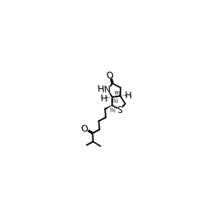 CC(C)C(=O)CCCC[C@@H]1SC[C@@H]2CC(=O)N[C@@H]21